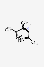 CCCC(=N)/C(C)=C\C(C)=N